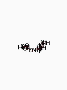 Cn1c(=O)n(C2CCC(=O)NC2=O)c2cccc(CCCO[C@H]3C[C@H](N(C)C[C@H]4CC[C@H](n5cc(NC(=O)c6coc(-c7ccnc(NCC8CC8)c7)n6)c(C(F)F)n5)CC4)C3)c21